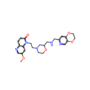 COc1cnc2ccc(=O)n(CCN3CCOC(CNCc4cc5c(cn4)OCCO5)C3)c2c1